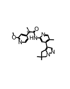 COc1cc([C@@H](C)C(=O)Nc2cc(-c3cnn4c3CC(C)(C)C4)c(C)cn2)ccn1